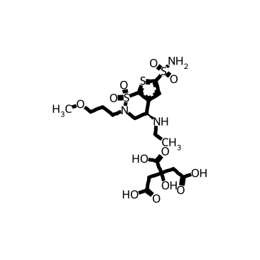 CCN[C@H]1CN(CCCOC)S(=O)(=O)c2sc(S(N)(=O)=O)cc21.O=C(O)CC(O)(CC(=O)O)C(=O)O